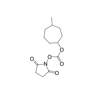 CC1CCCC(OC(=O)ON2C(=O)CCC2=O)CC1